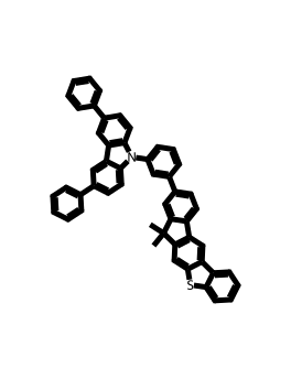 CC1(C)c2cc(-c3cccc(-n4c5ccc(-c6ccccc6)cc5c5cc(-c6ccccc6)ccc54)c3)ccc2-c2cc3c(cc21)sc1ccccc13